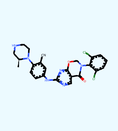 C[C@H]1CNCCN1c1ccc(Nc2ncc3c(n2)OCN(c2c(Cl)cccc2Cl)C3=O)cc1C#N